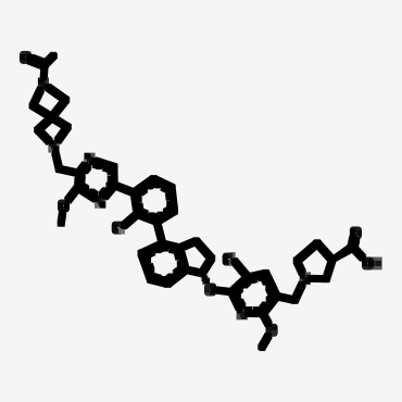 COc1nc(O[C@H]2CCc3c(-c4cccc(-c5cnc(CN6CC7(C6)CN(C(C)=O)C7)c(OC)n5)c4Cl)cccc32)c(Cl)cc1CN1CC[C@@H](C(=O)O)C1